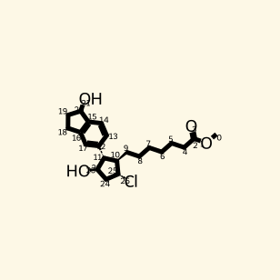 COC(=O)CCCCCC[C@@H]1[C@@H](c2ccc3c(c2)CCC3O)[C@H](O)C[C@H]1Cl